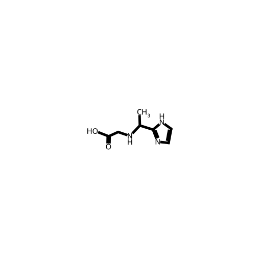 CC(NCC(=O)O)c1ncc[nH]1